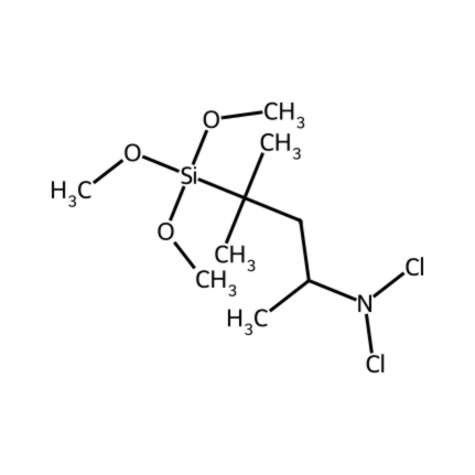 CO[Si](OC)(OC)C(C)(C)CC(C)N(Cl)Cl